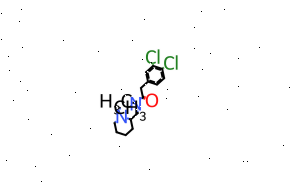 CN(CC1CCCCN1C)C(=O)Cc1ccc(Cl)c(Cl)c1